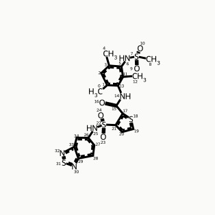 Cc1cc(C)c(NS(C)(=O)=O)c(C)c1NC(=O)c1sccc1S(=O)(=O)Nc1ccc2nsnc2c1